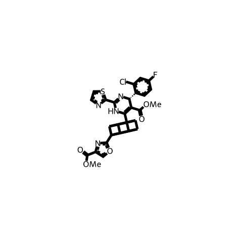 COC(=O)C1=C(C23C4C5C2C2C3C4C52c2nc(C(=O)OC)co2)NC(c2nccs2)=N[C@@H]1c1ccc(F)cc1Cl